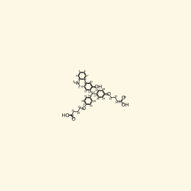 CN(C)c1ccccc1-c1ccc(C(c2ccc(OCCCC(=O)O)cc2)c2ccc(OCCCC(=O)O)cc2)c(O)c1